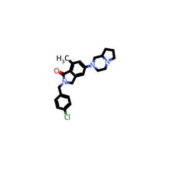 Cc1cc(N2CCN3CCCC3C2)cc2c1C(=O)N(Cc1ccc(Cl)cc1)C2